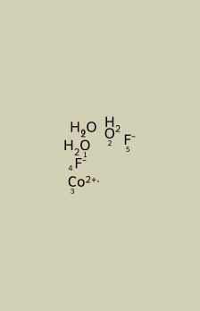 O.O.O.[Co+2].[F-].[F-]